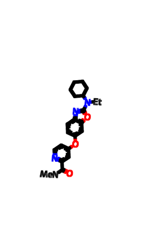 CCN(c1nc2ccc(Oc3ccnc(C(=O)NC)c3)cc2o1)C1CCCCC1